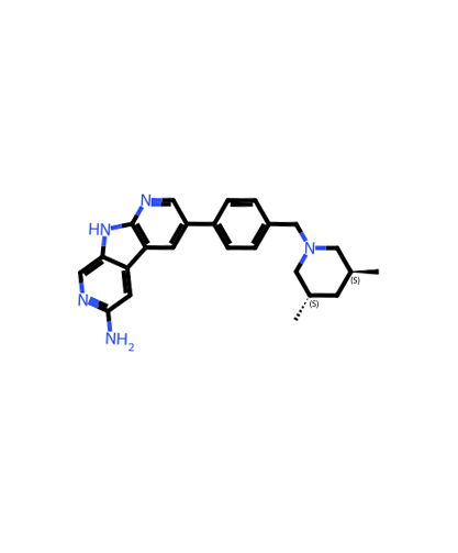 C[C@H]1C[C@H](C)CN(Cc2ccc(-c3cnc4[nH]c5cnc(N)cc5c4c3)cc2)C1